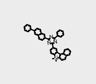 C[Si]1(C)c2ccc(-c3nc(-c4ccccc4)nc(-c4ccc5cc(-c6ccccc6)ccc5c4)n3)cc2-c2c1ccc1ccccc21